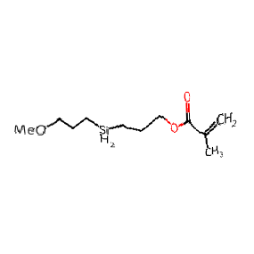 C=C(C)C(=O)OCCC[SiH2]CCCOC